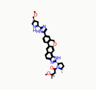 COC[C@@H]1CN[C@H](c2ncc(-c3ccc4c(c3)COc3cc5c(ccc6nc([C@@H]7CC[C@H](C)N7C(=O)[CH][C@@H](C)OC)[nH]c65)cc3-4)[nH]2)C1